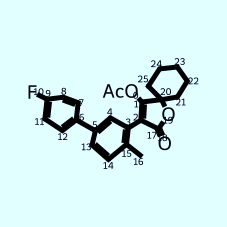 CC(=O)OC1=C(c2cc(-c3ccc(F)cc3)ccc2C)C(=O)OC12CCCCC2